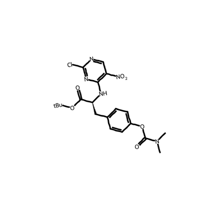 CN(C)C(=O)Oc1ccc(C[C@H](Nc2nc(Cl)ncc2[N+](=O)[O-])C(=O)OC(C)(C)C)cc1